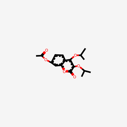 CC(=O)Oc1ccc2c(OC(C)C)c(OC(C)C)c(=O)oc2c1